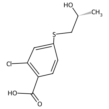 C[C@@H](O)CSc1ccc(C(=O)O)c(Cl)c1